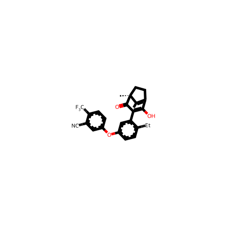 CCc1ccc(Oc2ccc(C(F)(F)F)c(C#N)c2)cc1C1=C(O)C2=C(C)[C@](C)(CC2)C1=O